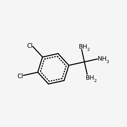 BC(B)(N)c1ccc(Cl)c(Cl)c1